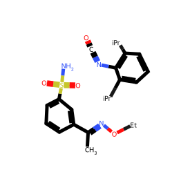 CC(C)c1cccc(C(C)C)c1N=C=O.CCON=C(C)c1cccc(S(N)(=O)=O)c1